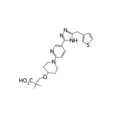 CC(C)(COC1CCN(c2ccc(-c3nnc(Cc4ccsc4)[nH]3)cn2)CC1)C(=O)O